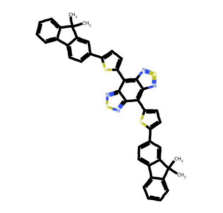 CC1(C)c2ccccc2-c2ccc(-c3ccc(-c4c5c(c(-c6ccc(-c7ccc8c(c7)C(C)(C)c7ccccc7-8)s6)c6nsnc46)N=S=N5)s3)cc21